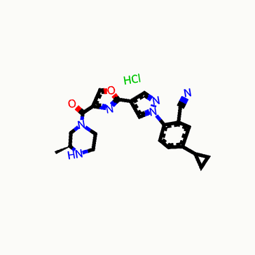 C[C@H]1CN(C(=O)c2coc(-c3cnn(-c4ccc(C5CC5)cc4C#N)c3)n2)CCN1.Cl